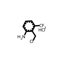 Cl.Nc1cccc(C(F)(F)F)c1CCl